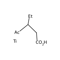 CCC(CC(=O)O)C(C)=O.[Ti]